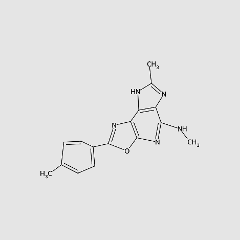 CNc1nc2oc(-c3ccc(C)cc3)nc2c2[nH]c(C)nc12